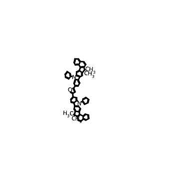 CC1(C)c2cc3c4ccc(-c5coc(-c6ccc7c8cc9c(cc8n(-c8ccccc8)c7c6)-c6c(ccc7ccccc67)C9(C)C)c5)cc4n(-c4ccccc4)c3cc2-c2c1ccc1ccccc21